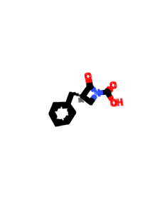 O=C(O)N1C[C@H](Cc2ccccc2)C1=O